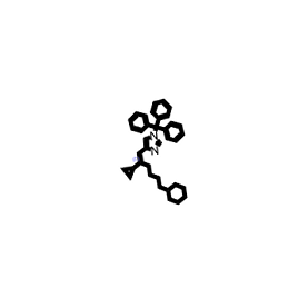 C(=C(/CCCCC1CCCCC1)C1CC1)/c1cn(C(c2ccccc2)(c2ccccc2)c2ccccc2)cn1